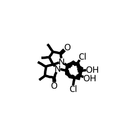 CC1C(=O)N(c2ccc(O)c(Cl)c2)C2(C1C)C(C)C(C)C(=O)N2c1ccc(O)c(Cl)c1